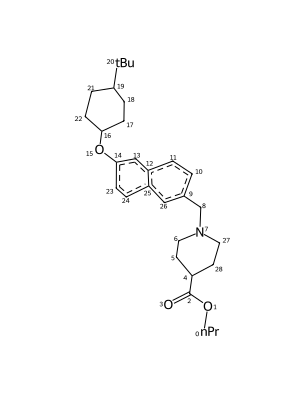 CCCOC(=O)C1CCN(Cc2ccc3cc(OC4CCC(C(C)(C)C)CC4)ccc3c2)CC1